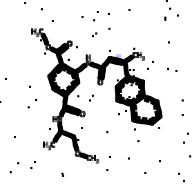 COCC(C)NC(=O)c1ccc(C(=O)OC)c(NC(=O)/C=C(/C)c2ccc3ccccc3c2)c1